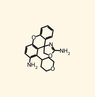 NC1=NC2(CO1)c1ccccc1Oc1ccc(N)c(C3CCOCC3)c12